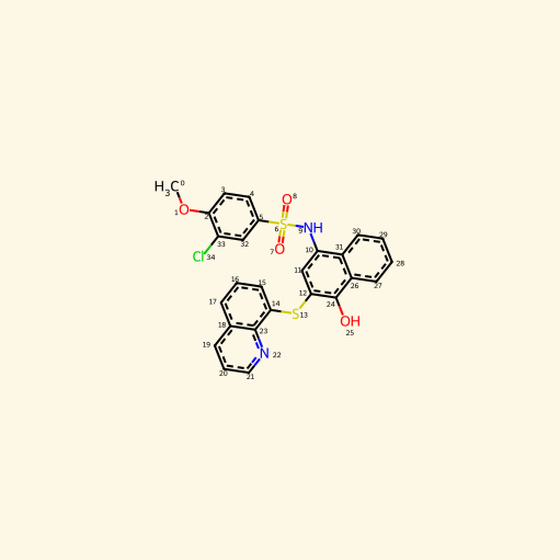 COc1ccc(S(=O)(=O)Nc2cc(Sc3cccc4cccnc34)c(O)c3ccccc23)cc1Cl